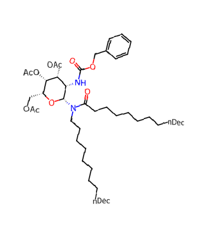 CCCCCCCCCCCCCCCCCCN(C(=O)CCCCCCCCCCCCCCCCC)[C@@H]1O[C@H](COC(C)=O)[C@H](OC(C)=O)[C@H](OC(C)=O)[C@@H]1NC(=O)OCc1ccccc1